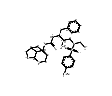 COc1ccc(S(=O)(=O)N(CC(C)C)C[C@@H](O)[C@H](Cc2ccccc2)NC(=O)OC2C3COC4OCC(C3)C42)cc1